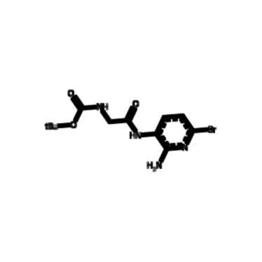 CC(C)(C)OC(=O)NCC(=O)Nc1ccc(Br)nc1N